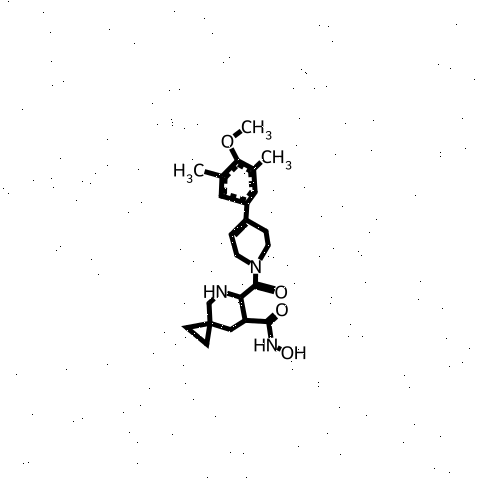 COc1c(C)cc(C2=CCN(C(=O)C3NCC4(CC4)CC3C(=O)NO)CC2)cc1C